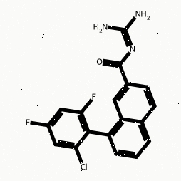 NC(N)=NC(=O)c1ccc2cccc(-c3c(F)cc(F)cc3Cl)c2c1